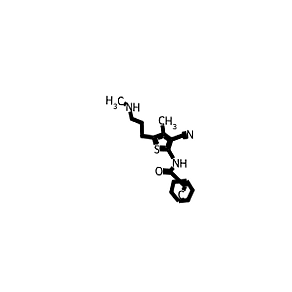 CNCCCc1sc(NC(=O)C2CC3CCC2CC3)c(C#N)c1C